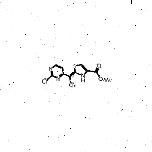 COC(=O)C1=CS/C(=C(/C#N)c2ccnc(Cl)n2)N1